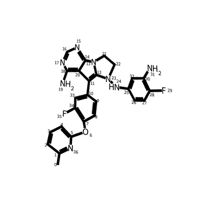 Cc1cccc(Oc2ccc(-c3c4n(c5ncnc(N)c35)CCN4Nc3ccc(F)c(N)c3)cc2F)n1